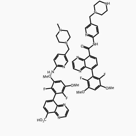 CN1CCN(Cc2ccc(N)nc2)CC1.COc1cc(OC)c(F)c(-c2ccc(C(=O)Nc3ccc(CN4CCNCC4)cn3)c3nccnc23)c1F.COc1cc(OC)c(F)c(-c2ccc(C(=O)O)c3nccnc23)c1F